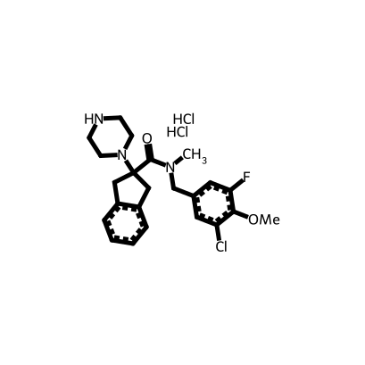 COc1c(F)cc(CN(C)C(=O)C2(N3CCNCC3)Cc3ccccc3C2)cc1Cl.Cl.Cl